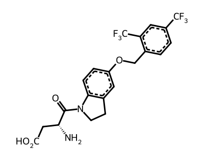 N[C@H](CC(=O)O)C(=O)N1CCc2cc(OCc3ccc(C(F)(F)F)cc3C(F)(F)F)ccc21